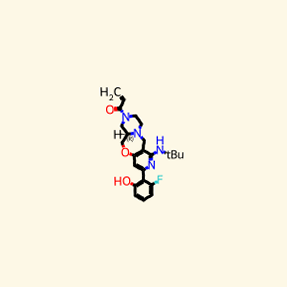 C=CC(=O)N1CCN2Cc3c(cc(-c4c(O)cccc4F)nc3NC(C)(C)C)OC[C@H]2C1